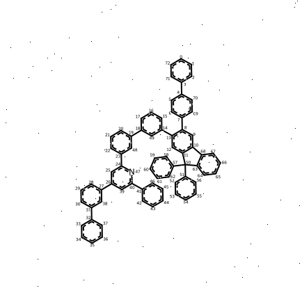 c1ccc(-c2ccc(-c3cc4c(cc3-c3cccc(-c5cccc(-c6cc(-c7cccc(-c8ccccc8)c7)cc(-c7ccccc7)n6)c5)c3)C(c3ccccc3)(c3ccccc3)c3ccccc3-4)cc2)cc1